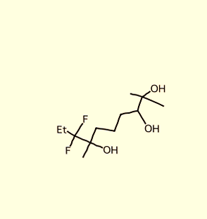 [CH2]CC(F)(F)C(C)(O)CCCC(O)C(C)(C)O